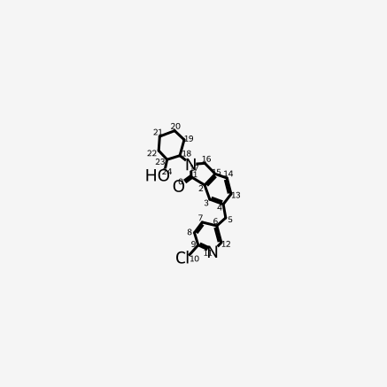 O=C1c2cc(Cc3ccc(Cl)nc3)ccc2CN1C1CCCCC1O